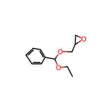 CCOC(OCC1CO1)c1ccccc1